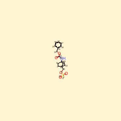 CS(=O)(=O)OCC12CCC(NC(=O)OCc3ccccc3)(CC1)C2